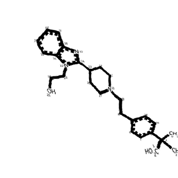 CC(C)(C(=O)O)c1ccc(CCN2CCC(c3nc4ccccc4n3CCO)CC2)cc1